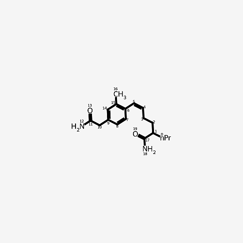 CCCC(CC/C=C\c1ccc(CC(N)=O)cc1C)C(N)=O